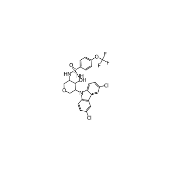 N=S(=O)(NC1COCC(n2c3ccc(Cl)cc3c3cc(Cl)ccc32)C1O)c1ccc(OC(F)(F)F)cc1